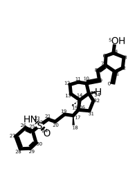 C=C1CCC(O)C/C1=C/C=C1\CCC[C@]2(C)C([C@@H](C)CCCS(=N)(=O)c3ccccc3)CC[C@@H]12